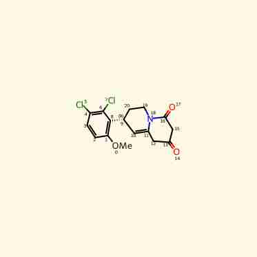 COc1ccc(Cl)c(Cl)c1[C@H]1C=C2CC(=O)CC(=O)N2CC1